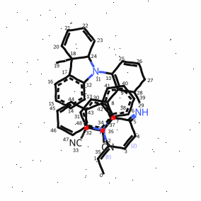 C/C=C(\C=C/C(=N)c1c(C2=C(N3c4ccccc4C4(C)C=CC=CC34)C=CCC2C)ccc(C#N)c1C#N)N1c2ccccc2C2C=CC=CC21